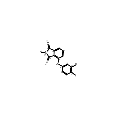 Cc1ccc(Sc2cccc3c2C(=O)N(C)C3=O)cc1C